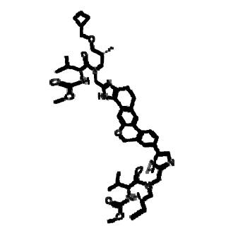 C=CCCN(Cc1ncc(-c2ccc3c(c2)COc2cc4c(cc2-3)CCc2nc(CN(C[C@@H](C)COCC3CCC3)C(=O)[C@@H](NC(=O)OC)C(C)C)[nH]c2-4)[nH]1)C(=O)[C@@H](NC(=O)OC)C(C)C